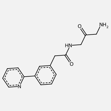 NCC(=O)CNC(=O)Cc1cccc(-c2ccccn2)c1